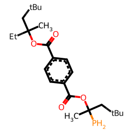 CCC(C)(CC(C)(C)C)OC(=O)c1ccc(C(=O)OC(C)(P)CC(C)(C)C)cc1